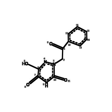 O=C(Cn1nc(O)c(=O)[nH]c1=O)c1ccccc1